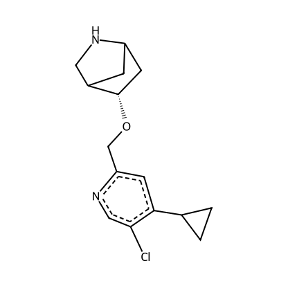 Clc1cnc(CO[C@H]2CC3CC2CN3)cc1C1CC1